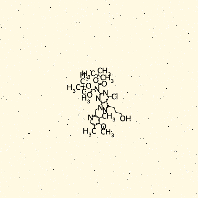 COc1c(C)cnc(Cn2nc(CCCO)c3c(Cl)nc(N(C(=O)OC(C)(C)C)C(=O)OC(C)(C)C)nc32)c1C